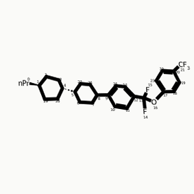 CCC[C@H]1CC[C@H](C2CCC(c3ccc(C(F)(F)Oc4ccc(C(F)(F)F)cc4)cc3)CC2)CC1